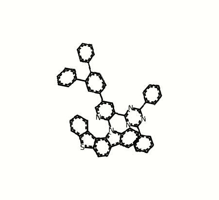 c1ccc(-c2nc(-c3ccccc3)nc(-c3cc(-c4ccc(-c5ccccc5)c(-c5ccccc5)c4)cnc3-n3c4ccccc4c4ccc5sc6ccccc6c5c43)n2)cc1